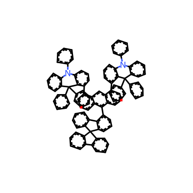 c1ccc(N2c3ccccc3C(c3ccccc3)(c3ccccc3)c3c(-c4cccc5c(-c6cccc7c6-c6ccccc6C76c7ccccc7-c7ccccc76)c6cccc(-c7cccc8c7C(c7ccccc7)(c7ccccc7)c7ccccc7N8c7ccccc7)c6cc45)cccc32)cc1